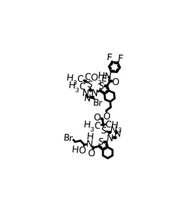 CCOC(=O)C(C)(C)Sc1nnc(Br)n1-c1sc(C(=O)Nc2ccc(F)c(F)c2)c2c1CC(CCOC(=O)C(C)(C)Sc1nncn1-c1sc(C(=O)NC(O)CCBr)c3c1CCCC3)CC2